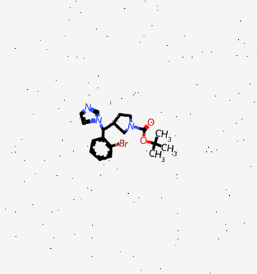 CC(C)(C)OC(=O)N1CCC(C(c2ccccc2Br)n2ccnc2)C1